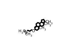 C[C@H]1CCC2C3CCC4=C[C@@H](OCCCN(C)C)CC[C@]4(C)C3CC[C@@]21C